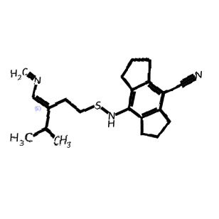 C=N/C=C(\CCSNc1c2c(c(C#N)c3c1CCC3)CCC2)C(C)C